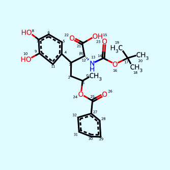 CC(CC(c1ccc(O)c(O)c1)[C@@H](NC(=O)OC(C)(C)C)C(=O)O)OC(=O)c1ccccc1